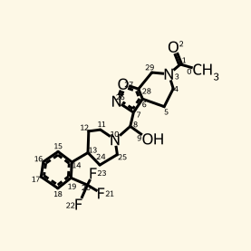 CC(=O)N1CCc2c(C(O)N3CCC(c4ccccc4C(F)(F)F)CC3)noc2C1